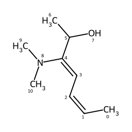 C/C=C\C=C(\C(C)O)N(C)C